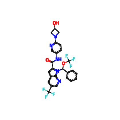 O=C(Nc1ccc(N2CC(O)C2)nc1)c1cc2cc(C(F)(F)F)cnc2n1C(OC(F)(F)F)c1ccccc1